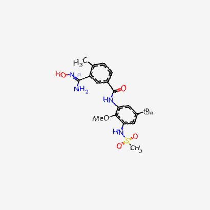 COc1c(NC(=O)c2ccc(C)c(/C(N)=N/O)c2)cc(C(C)(C)C)cc1NS(C)(=O)=O